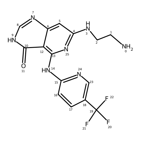 NCCNc1cc2nc[nH]c(=O)c2c(Nc2ccc(C(F)(F)F)cn2)n1